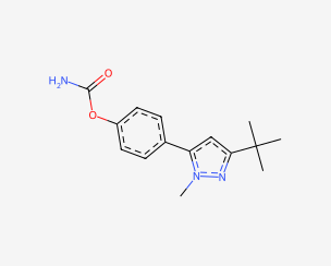 Cn1nc(C(C)(C)C)cc1-c1ccc(OC(N)=O)cc1